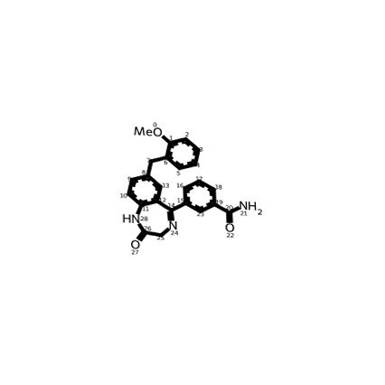 COc1ccccc1Cc1ccc2c(c1)C(c1cccc(C(N)=O)c1)=NCC(=O)N2